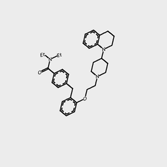 CCN(CC)C(=O)c1ccc(Cc2ccccc2OCCN2CCC(N3CCCc4ccccc43)CC2)cc1